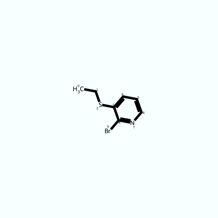 CCSc1cccnc1Br